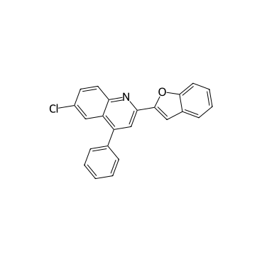 Clc1ccc2nc(-c3cc4ccccc4o3)cc(-c3ccccc3)c2c1